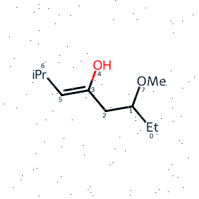 CCC(CC(O)=CC(C)C)OC